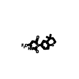 CC1(C)CCSc2ccc(-n3c(=O)cc(C(F)(F)F)[nH]c3=O)cc21